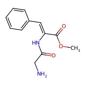 COC(=O)C(=Cc1ccccc1)NC(=O)CN